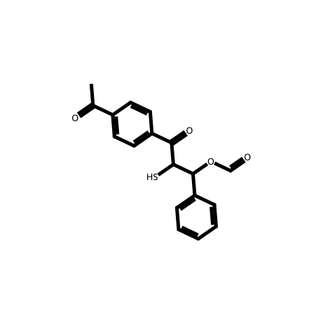 CC(=O)c1ccc(C(=O)C(S)C(OC=O)c2ccccc2)cc1